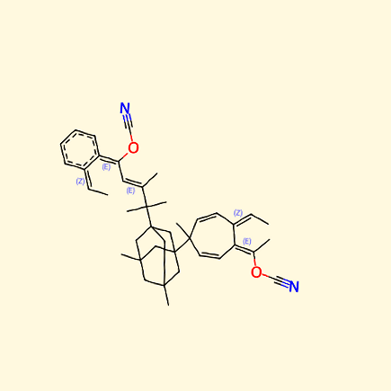 C/C=C1/C=CC(C)(C23CC4(C)CC(C)(C2)CC(C(C)(C)/C(C)=C/C(OC#N)=c2/cccc/c2=C/C)(C4)C3)C=C/C1=C(/C)OC#N